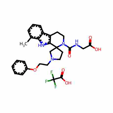 Cc1cccc2c3c([nH]c12)C1(CCN(CCOc2ccccc2)C1)N(C(=O)NCC(=O)O)CC3.O=C(O)C(F)(F)F